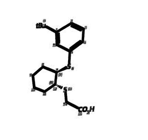 CC(C)(C)c1cccc(S[C@@H]2CCCC[C@H]2SCC(=O)O)c1